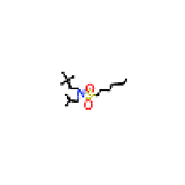 CCCCCCS(=O)(=O)N(CCC(C)(C)C)CC(C)C